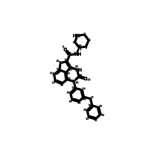 O=C(N[C@@H]1CCCNC1)c1sc2nccc3c2c1NC(=O)N3c1cccc(Cc2ccccc2)c1